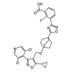 O=C(O)c1cccc(-c2noc(C34CCC(OCc5c(-c6c(Cl)cncc6Cl)noc5C5CC5)(CC3)CC4)n2)c1F